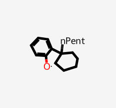 CCCCCC1(c2ccccc2[O])CCCCC1